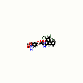 CS(=O)(=O)Nc1ccc(OCC(O)CNCC(Cc2cccc(F)c2)c2ccc(Cl)c(Cl)c2)cc1